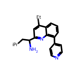 CCc1cc(C(N)CC(C)C)nc2c(-c3ccncc3)cccc12